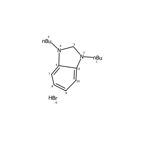 Br.CCCCN1CN(CCCC)c2ccccc21